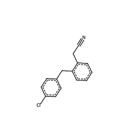 N#CCc1ccccc1Cc1ccc(Cl)cc1